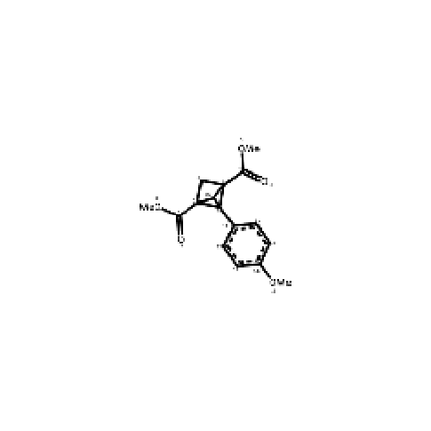 COC(=O)C12CC(C(=O)OC)(C1)C2c1ccc(OC)cc1